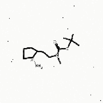 CN(CCC1CCC[C@H]1N)C(=O)OC(C)(C)C